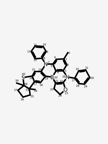 Cc1cc2c3c(c1)N(c1ccccc1)c1cc4c(cc1B3C1=C(OCC1)N2c1ccccc1)C1(C)CCCC1(C)S4